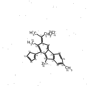 CC(C)=c1cc2c(c(C3=CC=CC3)c1C)=[C]([Zr+2])c1cc(C)ccc1-2.[Cl-].[Cl-]